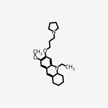 CCN1c2cc(OCCCN3CCCC3)c(OC)cc2C=C2CCCCC21